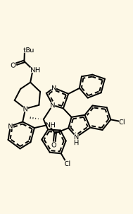 C[C@@H](c1ccc(Cl)cc1)n1cnc(-c2ccccc2)c1-c1c(C(=O)Nc2cccnc2N2CCC(NC(=O)C(C)(C)C)CC2)[nH]c2cc(Cl)ccc12